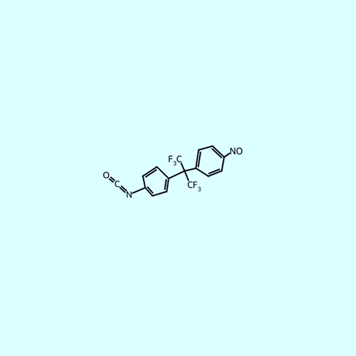 O=C=Nc1ccc(C(c2ccc(N=O)cc2)(C(F)(F)F)C(F)(F)F)cc1